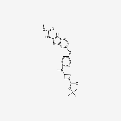 COC(=O)Nc1nc2cc(Oc3ccc(N(C)C4CN(C(=O)OC(C)(C)C)C4)cc3)ccc2[nH]1